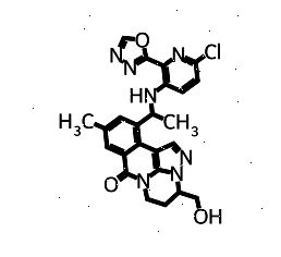 Cc1cc(C(C)Nc2ccc(Cl)nc2-c2nnco2)c2c(c1)c(=O)n1c3c2cnn3C(CO)CC1